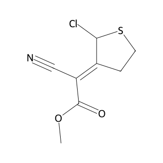 COC(=O)C(C#N)=C1CCSC1Cl